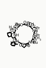 CCC(C)[C@@H]1OC(=O)[C@@H](C(C)C)N(C)C(=O)[C@@H](CC(C)C)NC(=O)[C@@H](C(C)C)N(C)C(=O)C([C@@H](C)CC)NC(=O)[C@@H]2CCCN2C(=O)[C@H](Cc2ccccc2)N(C)C(=O)C(Cc2ccccc2)NC(=O)[C@@H](C(C)C)N(C)C1=O